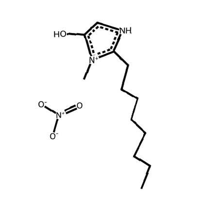 CCCCCCCCc1[nH]cc(O)[n+]1C.O=[N+]([O-])[O-]